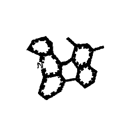 Cc1cc(C)c(-c2c3ccccc3nc3cccc(-c4ccccc4)c23)c(C)c1